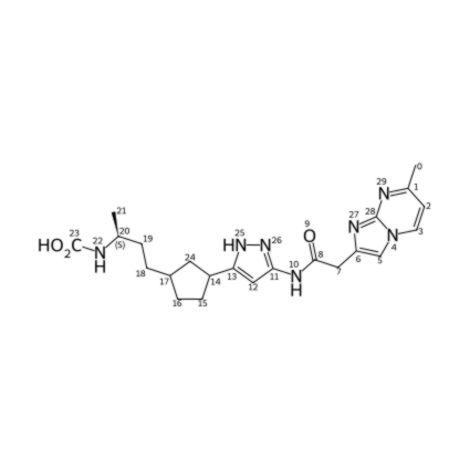 Cc1ccn2cc(CC(=O)Nc3cc(C4CCC(CC[C@H](C)NC(=O)O)C4)[nH]n3)nc2n1